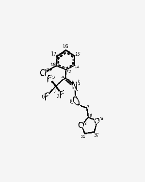 FC(F)(F)C(=NOCC1OCCO1)c1ccccc1Cl